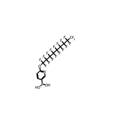 OB(O)c1ccc(OC(F)(F)C(F)(F)C(F)(F)C(F)(F)C(F)(F)C(F)(F)C(F)(F)C(F)(F)C(F)(F)F)nc1